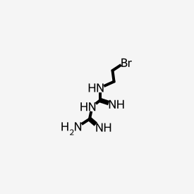 N=C(N)NC(=N)NCCBr